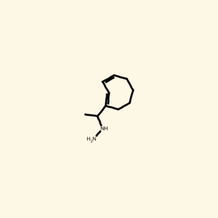 CC(NN)/C1=C\C=C/CCCC1